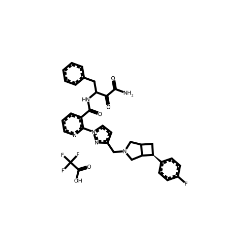 NC(=O)C(=O)C(Cc1ccccc1)NC(=O)c1cccnc1-n1ccc(CN2CC3C[C@@H](c4ccc(F)cc4)C3C2)n1.O=C(O)C(F)(F)F